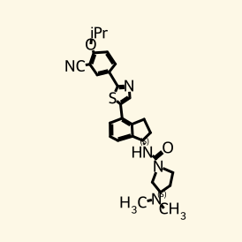 CC(C)Oc1ccc(-c2ncc(-c3cccc4c3CC[C@@H]4NC(=O)N3CC[C@H](N(C)C)C3)s2)cc1C#N